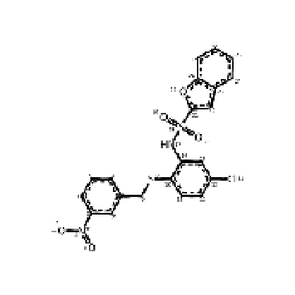 O=[N+](O)c1cccc(CSc2ccc(Cl)cc2NS(=O)(=O)c2cc3ccccc3o2)c1